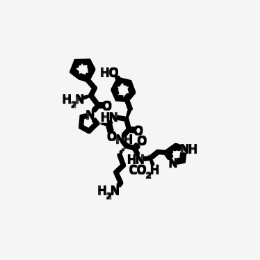 NCCCC[C@H](NC(=O)[C@H](Cc1ccc(O)cc1)NC(=O)[C@@H]1CCCN1C(=O)[C@@H](N)Cc1ccccc1)C(=O)N[C@@H](Cc1c[nH]cn1)C(=O)O